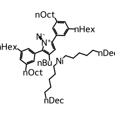 CCCCCCCCCCCCCC[CH2][Ni][CH2]CCCCCCCCCCCCCC.CCCCCCCCc1cc(CCCCCC)cc(C2=CC(CCCC)=C(c3cc(CCCCCC)cc(CCCCCCCC)c3)[N+]2=[N-])c1